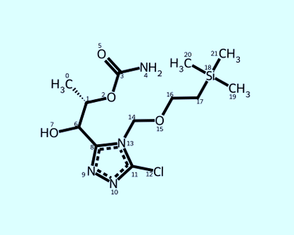 C[C@H](OC(N)=O)C(O)c1nnc(Cl)n1COCC[Si](C)(C)C